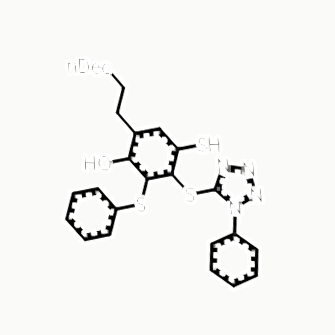 CCCCCCCCCCCCc1cc(S)c(Sc2nnnn2-c2ccccc2)c(Sc2ccccc2)c1O